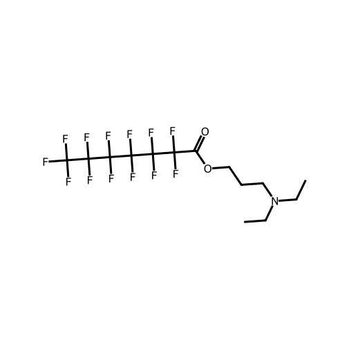 CCN(CC)CCCOC(=O)C(F)(F)C(F)(F)C(F)(F)C(F)(F)C(F)(F)C(F)(F)F